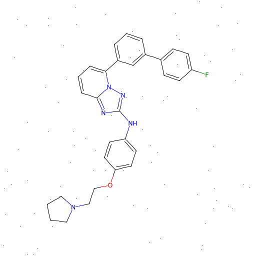 Fc1ccc(-c2cccc(-c3cccc4nc(Nc5ccc(OCCN6CCCC6)cc5)nn34)c2)cc1